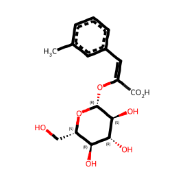 Cc1cccc(C=C(O[C@H]2O[C@@H](CO)[C@H](O)[C@@H](O)[C@@H]2O)C(=O)O)c1